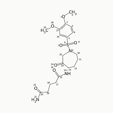 COc1ccc(S(=O)(=O)N2CCC[C@H](NC(=O)[CH]CCC(N)=O)C(=O)C2)cc1OC